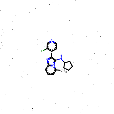 Cc1cccc2nc(-c3ccncc3F)c(NC3CCCC3)n12